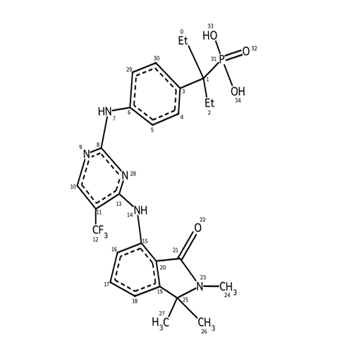 CCC(CC)(c1ccc(Nc2ncc(C(F)(F)F)c(Nc3cccc4c3C(=O)N(C)C4(C)C)n2)cc1)P(=O)(O)O